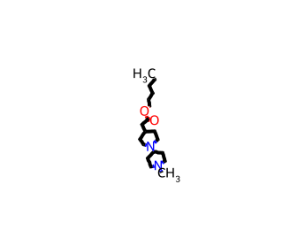 CCCCCCOC(=O)CC1CCN(C2CCN(C)CC2)CC1